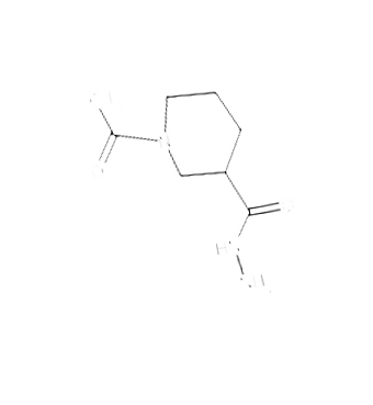 CC(=O)N1CCCC(C(=O)NN)C1